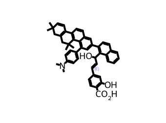 CN(C)c1ccc(-c2cc(-c3ccc4ccccc4c3C(O)/C=C/c3ccc(C(=O)O)c(O)c3)cc3ccc4c(c23)C(C)(C)CC2=C4C=CC(C)(C)C2)cc1